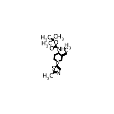 C/C=C1/CN(c2cnc(C)s2)CC[C@H]1NC(=O)OC(C)(C)C